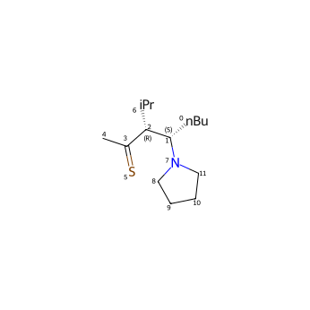 CCCC[C@@H]([C@H](C(C)=S)C(C)C)N1CCCC1